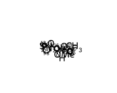 COc1cc(C(=O)N2CCCCc3sccc32)ccc1NC(=O)c1cccc(F)c1C